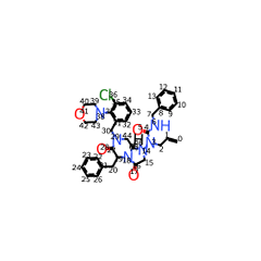 C=CCN(C(=O)NCc1ccccc1)N1CC(=O)N2C(Cc3ccccc3)C(=O)N(Cc3cccc(Cl)c3N3CCOCC3)C[C@@H]21